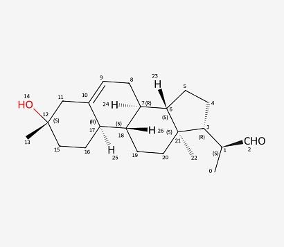 C[C@H](C=O)[C@H]1CC[C@H]2[C@@H]3CC=C4C[C@@](C)(O)CC[C@@H]4[C@H]3CC[C@]12C